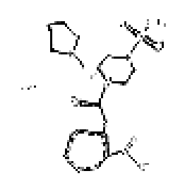 CS(=O)(=O)N1CCN(C(=O)Cc2ccccc2[N+](=O)[O-])[C@H](CN2CCCC2)C1.Cl